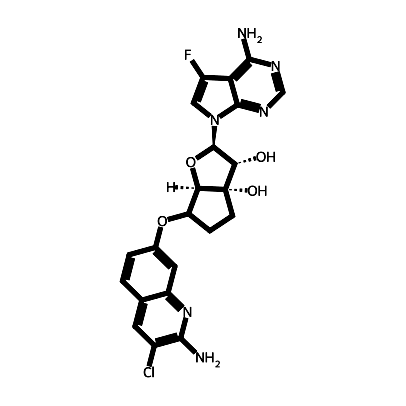 Nc1nc2cc(OC3CC[C@@]4(O)[C@@H]3O[C@@H](n3cc(F)c5c(N)ncnc53)[C@@H]4O)ccc2cc1Cl